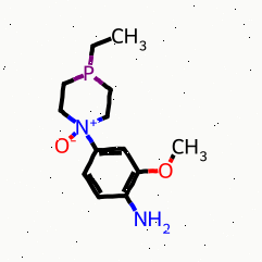 CCP1CC[N+]([O-])(c2ccc(N)c(OC)c2)CC1